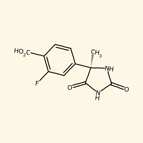 C[C@]1(c2ccc(C(=O)O)c(F)c2)NC(=O)NC1=O